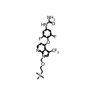 C[Si](C)(C)CCOCn1cc(C(F)(F)F)c2c(Oc3c(F)cc(NC(N)=O)cc3F)ccnc21